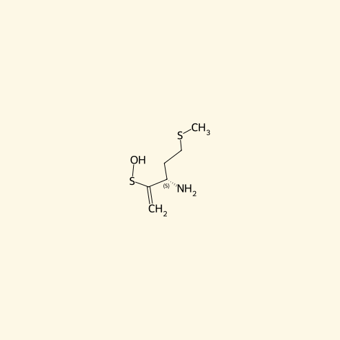 C=C(SO)[C@@H](N)CCSC